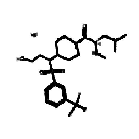 CN[C@@H](CC(C)C)C(=O)N1CCC(N(CCO)S(=O)(=O)c2cccc(C(F)(F)F)c2)CC1.Cl